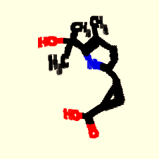 Cc1ccc(C2CC2C(=O)O)nc1C(C)(C)O